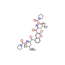 CCCCC(CC)C/C(=N\OC(=O)N1CCCC1)C(=O)c1cccc2oc(=O)c(C(=O)/C(CC(CC)CCC)=N/OC(=O)N3CCCC3)cc12